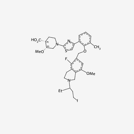 CCC(CCI)N1CCc2c(F)c(COc3c(C)cccc3-c3csc(N4CC[C@@H](C(=O)O)[C@@H](OC)C4)n3)cc(OC)c2C1